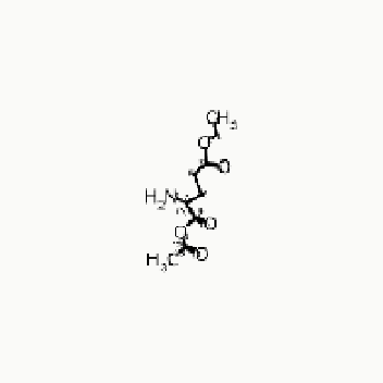 CCOC(=O)CC[C@H](N)C(=O)OC(C)=O